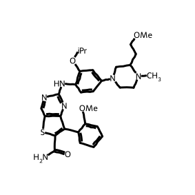 COCCC1CN(c2ccc(Nc3ncc4sc(C(N)=O)c(-c5ccccc5OC)c4n3)c(OC(C)C)c2)CCN1C